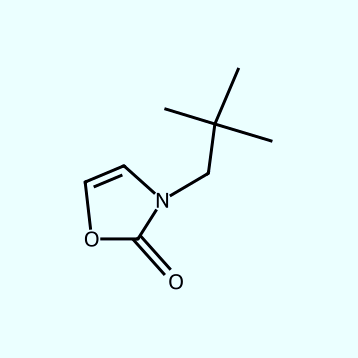 CC(C)(C)Cn1ccoc1=O